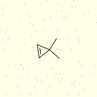 [CH2]C1(C)C=C1